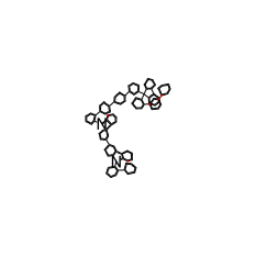 c1ccc(-c2cccc(-c3ccccc3C3(c4cccc(-c5ccc(-c6ccc(-c7ccccc7-n7c8ccccc8c8cc(-c9ccc%10c(c9)c9ccccc9n%10-c9ccccc9-c9ccccc9)ccc87)cc6)cc5)c4)c4ccccc4-c4ccccc43)c2)cc1